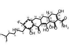 CC(C)CCNCc1c(F)cc2c(c1O)C(=O)C1=C(O)[C@]3(O)C(=O)C(C(N)=O)=C(O)C[C@@H]3CC1C2